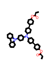 C=CC(=O)Oc1ccc(-c2ccc(N(c3ccc(-c4ccc(OC(=O)C=C)cc4)cc3)c3ccc(-n4c5ccccc5c5ccccc54)cc3)cc2)cc1